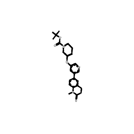 CN1C(=O)CCc2cc(-c3cncc(OC4CCCN(C(=O)OC(C)(C)C)C4)c3)ccc21